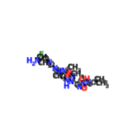 C=CC(=O)Nc1cc(Nc2nc(-c3ccnc(N4CCn5c(cc6c5CC(C)(C)C6)C4=O)c3CO)cn(C)c2=O)ccc1N1CCN(C2CCN(c3ccc(F)c(C(C)(C)N)c3)CC2)C[C@@H]1C